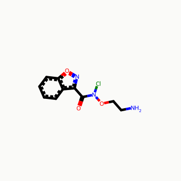 NCCON(Cl)C(=O)c1noc2ccccc12